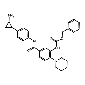 NC1CC1c1ccc(NC(=O)c2ccc(N3CCCCC3)c(NC(=O)OCc3ccccc3)c2)cc1